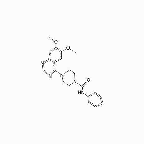 COc1cc2ncnc(N3CCN(C(=O)Nc4ccccc4)CC3)c2cc1OC